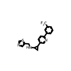 FC(F)(F)c1cccc(-c2ccc(C3CC3NCc3cncs3)cn2)c1